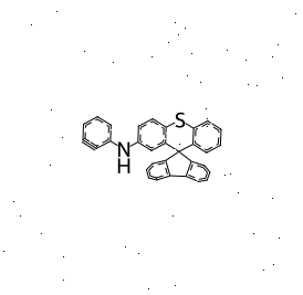 c1cccc(Nc2ccc3c(c2)C2(c4ccccc4S3)c3ccccc3-c3ccccc32)c#1